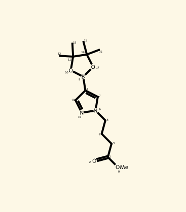 COC(=O)CCCn1cc(B2OC(C)(C)C(C)(C)O2)cn1